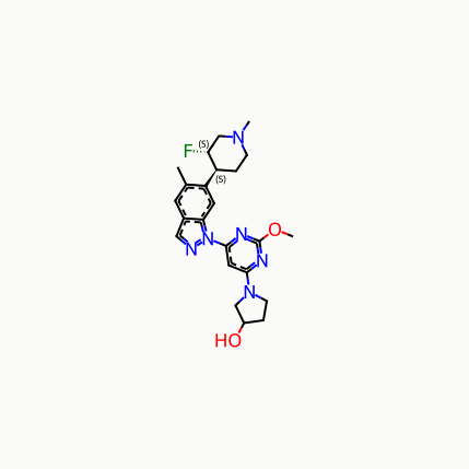 COc1nc(N2CCC(O)C2)cc(-n2ncc3cc(C)c([C@@H]4CCN(C)C[C@H]4F)cc32)n1